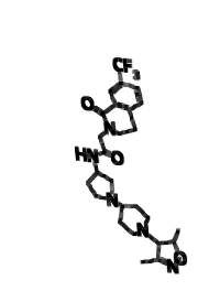 CC1=NOC(C)C1N1CCC(N2CCC(NC(=O)CN3CCc4ccc(C(F)(F)F)cc4C3=O)C2)CC1